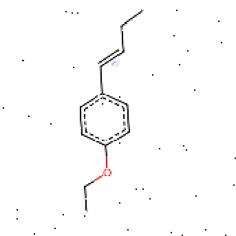 CC/C=C/c1ccc(OCC)cc1